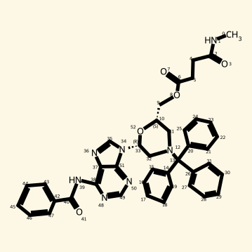 CNC(=O)CCC(=O)OC[C@@H]1CN(C(c2ccccc2)(c2ccccc2)c2ccccc2)C[C@H](n2cnc3c(NC(=O)c4ccccc4)ncnc32)O1